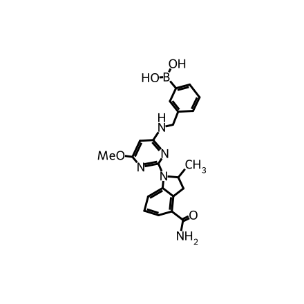 COc1cc(NCc2cccc(B(O)O)c2)nc(N2c3cccc(C(N)=O)c3CC2C)n1